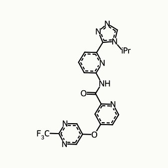 CC(C)n1cnnc1-c1cccc(NC(=O)c2cc(Oc3cnc(C(F)(F)F)nc3)ccn2)n1